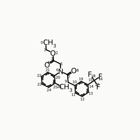 CCOC(=O)CN(C(=O)Cc1cccc(C(F)(F)F)c1)c1ccccc1C